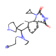 CCN(CCC#N)C(c1ccc2c(=O)[nH]c(=O)n(C3CC3)c2c1C)C1(C)CCNC1